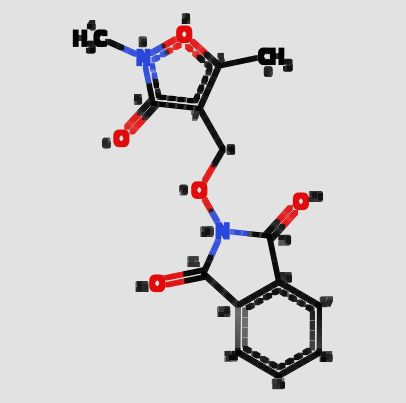 Cc1on(C)c(=O)c1CON1C(=O)c2ccccc2C1=O